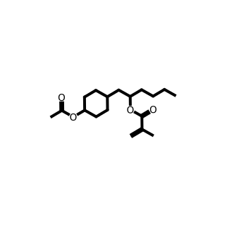 C=C(C)C(=O)OC(CCCC)CC1CCC(OC(C)=O)CC1